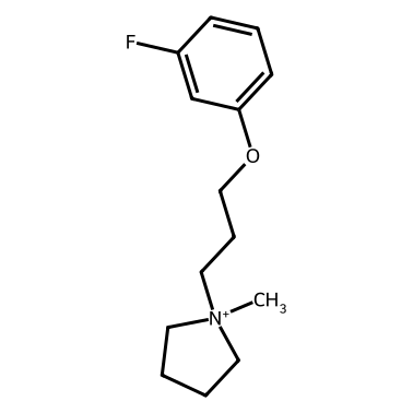 C[N+]1(CCCOc2cccc(F)c2)CCCC1